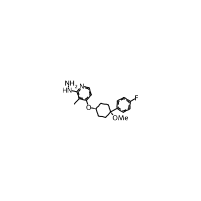 CO[C@]1(c2ccc(F)cc2)CC[C@H](Oc2ccnc(NN)c2C)CC1